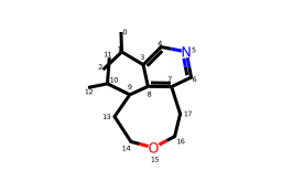 CC(C)c1cncc2c1C(C(C)C)CCOCC2